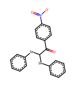 O=C(c1ccc([N+](=O)[O-])cc1)C([Se]c1ccccc1)[Se]c1ccccc1